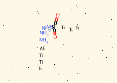 N.N.N.N.O=[Si]=O.[Al].[Ti].[Ti].[Ti].[Ti].[Ti].[Ti]